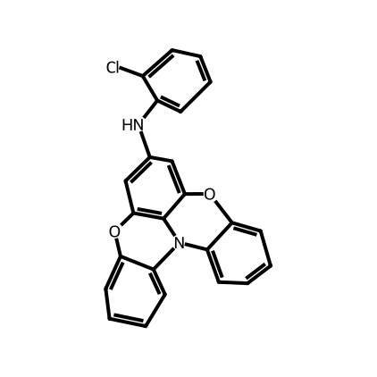 Clc1ccccc1Nc1cc2c3c(c1)Oc1ccccc1N3c1ccccc1O2